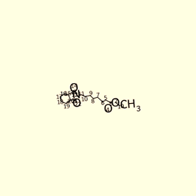 CCOC(=O)CCCCCCCN1C(=O)c2ccccc2C1=O